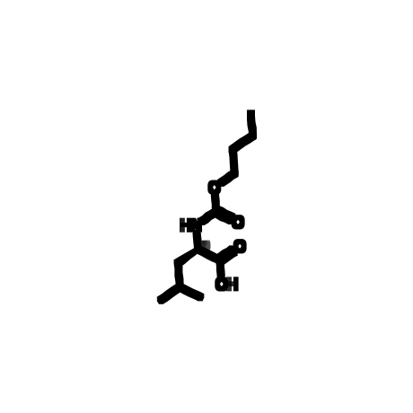 CCCCOC(=O)N[C@H](CC(C)C)C(=O)O